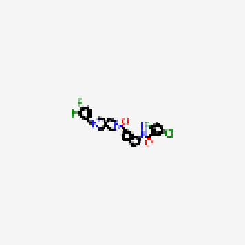 O=C(NC1CCc2ccc(C(=O)N3CCC4(CCN(Cc5ccc(F)c(F)c5)CC4)CC3)cc21)c1cc(Cl)ccc1F